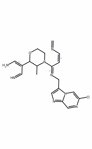 C=N/C=C\C(=N/Cc1cnc2cnc(Cl)cn12)N1CCOC(/C(C=N)=C/N)C1C